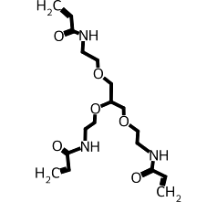 C=CC(=O)NCCOCC(COCCNC(=O)C=C)OCCNC(=O)C=C